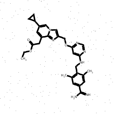 CCOC(=O)Cc1cc(C2CC2)cn2cc(COc3cc(NCc4c(C)cc(C(=N)N)cc4C)ncn3)nc12